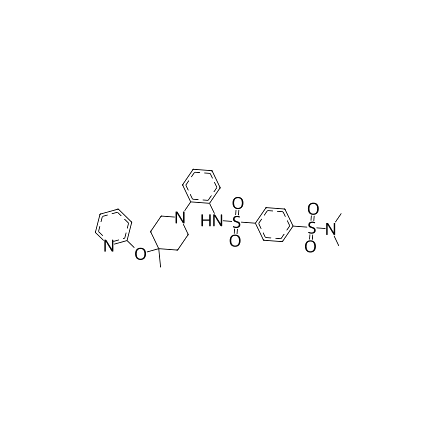 CN(C)S(=O)(=O)c1ccc(S(=O)(=O)Nc2ccccc2N2CCC(C)(Oc3ccccn3)CC2)cc1